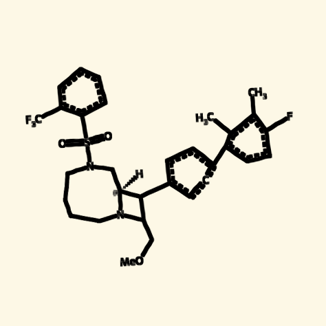 COCC1C(c2ccc(-c3ccc(F)c(C)c3C)cc2)[C@@H]2CN(S(=O)(=O)c3ccccc3C(F)(F)F)CCCCN12